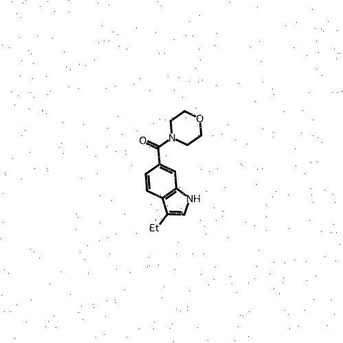 CCc1c[nH]c2cc(C(=O)N3CCOCC3)ccc12